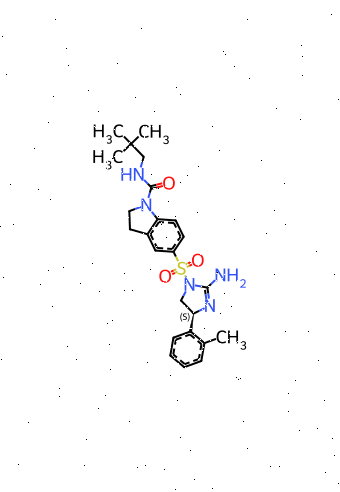 Cc1ccccc1[C@H]1CN(S(=O)(=O)c2ccc3c(c2)CCN3C(=O)NCC(C)(C)C)C(N)=N1